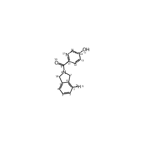 [2H]c1cccc2c1CN(C(=O)c1ccc(O)cn1)C2